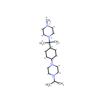 CC(C)N1CCN(C2CCC(C(C)(C)N3CCN(C)CC3)CC2)CC1